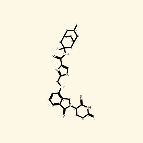 CCC1(NC(=O)c2csc(CSc3cccc4c3CN(C3CCC(=O)NC3=O)C4=O)n2)CC2CC(C)CC(C2)C1